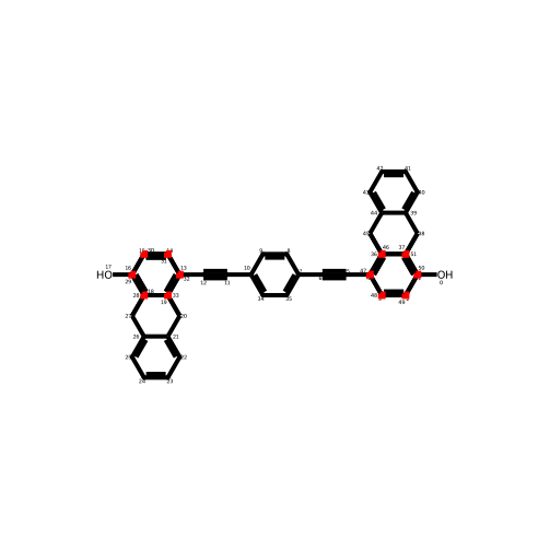 Oc1ccc(C#Cc2ccc(C#Cc3ccc(O)c4c3C3c5ccccc5C4c4ccccc43)cc2)c2c1C1c3ccccc3C2c2ccccc21